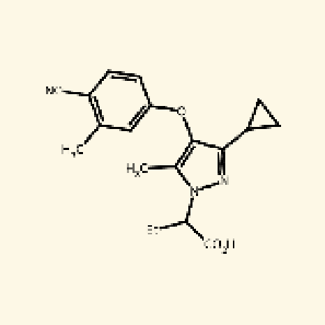 CCC(C(=O)O)n1nc(C2CC2)c(Oc2ccc(C#N)c(C)c2)c1C